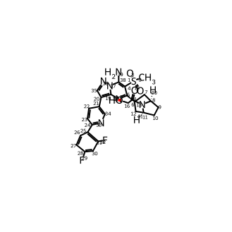 CS(=O)(=O)c1c([C@H]2C[C@H]3CC[C@@H](C2)N3C(=O)CO)nc2c(-c3ccc(-c4ccc(F)cc4F)nc3)cnn2c1N